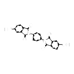 O=C1c2ccc(O)cc2C(=O)N1c1ccc(N2C(=O)c3ccc(O)cc3C2=O)cc1